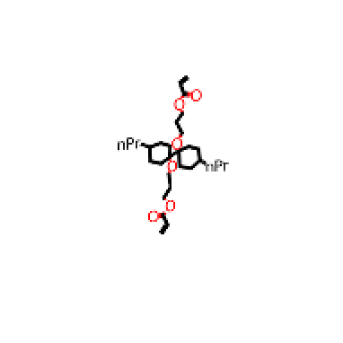 C=CC(=O)OCCCOC1(C2(OCCCOC(=O)C=C)CCC(CCC)CC2)CCC(CCC)CC1